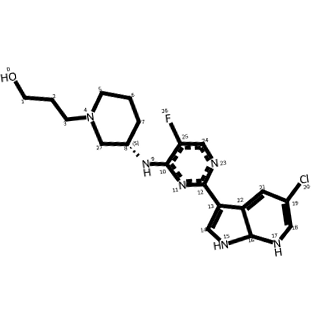 OCCCN1CCC[C@H](Nc2nc(C3=CNC4NC=C(Cl)C=C34)ncc2F)C1